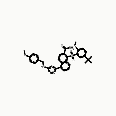 COc1ccc(CNc2nc(-c3cccc4c(S(=O)(=O)c5cc(C(C)(C)C)ccc5OC)c(C(N)=O)ccc34)ns2)cc1